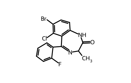 CC1N=C(c2ccccc2F)c2c(ccc(Br)c2Cl)NC1=O